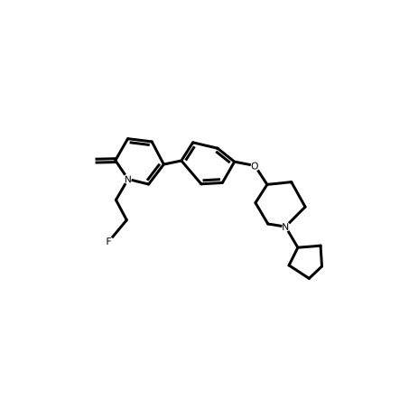 C=C1C=CC(c2ccc(OC3CCN(C4CCCC4)CC3)cc2)=CN1CCF